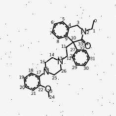 CCN1Cc2ccccc2C(CCN2CCN(c3ccccc3OC)CC2)(c2ccccc2)C1=O